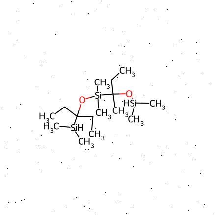 CCC(CC)(O[Si](C)(C)C(C)(CC)O[SiH](C)C)[SiH](C)C